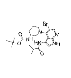 CC(C)C(=O)Nc1c[nH]c2ncc(Br)c(N3CCCC(NC(=O)OC(C)(C)C)C3)c12